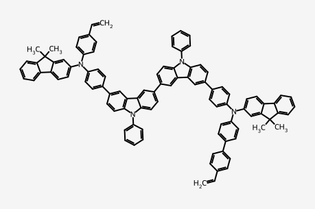 C=Cc1ccc(-c2ccc(N(c3ccc(-c4ccc5c(c4)c4cc(-c6ccc7c(c6)c6cc(-c8ccc(N(c9ccc(C=C)cc9)c9ccc%10c(c9)C(C)(C)c9ccccc9-%10)cc8)ccc6n7-c6ccccc6)ccc4n5-c4ccccc4)cc3)c3ccc4c(c3)C(C)(C)c3ccccc3-4)cc2)cc1